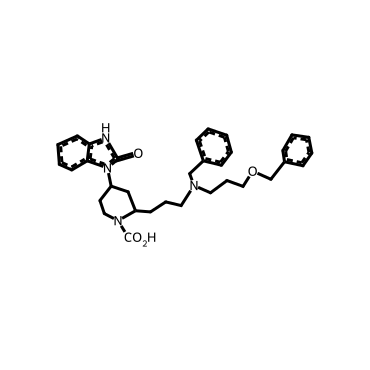 O=C(O)N1CCC(n2c(=O)[nH]c3ccccc32)CC1CCCN(CCCOCc1ccccc1)Cc1ccccc1